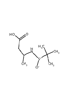 CC(CC(=O)O)N[S+]([O-])C(C)(C)C